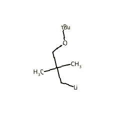 [Li][CH2]C(C)(C)COC(C)(C)C